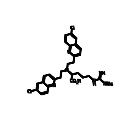 CNC(=N)NCCCC(C(=O)O)N(CCc1ccc2cc(Cl)ccc2n1)CCc1ccc2cc(Cl)ccc2n1